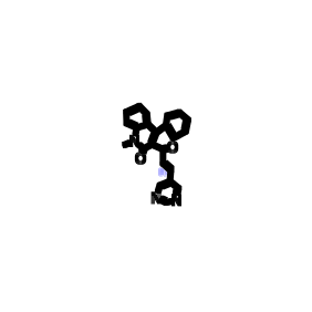 Cn1c(=O)c(C(=O)/C=C/c2cncnc2)c(-c2ccccc2)c2ccccc21